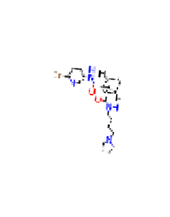 O=C(NCCCCN1CCCC1)[C@H]1[C@H](C(=O)Nc2ccc(Br)nc2)[C@@H]2CC[C@H]1C21CC1